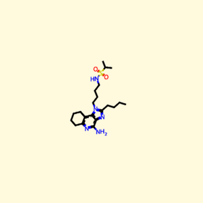 CCCCc1nc2c(N)nc3c(c2n1CCCCNS(=O)(=O)C(C)C)CCCC3